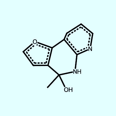 CC1(O)Nc2ncccc2-c2occc21